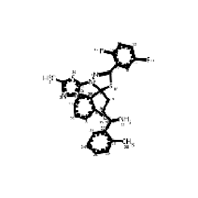 Cc1nnc(N2N=C(c3cc(F)ccc3F)SC2(CCC(N)c2ccccc2C)c2ccccc2C)s1